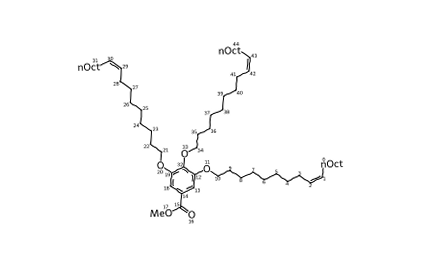 CCCCCCCC/C=C\CCCCCCCCOc1cc(C(=O)OC)cc(OCCCCCCCC/C=C\CCCCCCCC)c1OCCCCCCCC/C=C\CCCCCCCC